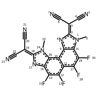 Cn1c(=C(C#N)C#N)nc2c3c(c(F)c(F)c4nc(=C(C#N)C#N)n(C)c43)c(F)c(F)c21